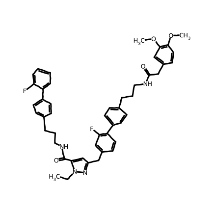 CCn1nc(Cc2ccc(-c3ccc(CCCNC(=O)Cc4ccc(OC)c(OC)c4)cc3)c(F)c2)cc1C(=O)NCCCc1ccc(-c2ccccc2F)cc1